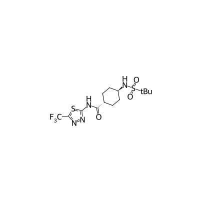 CC(C)(C)S(=O)(=O)N[C@H]1CC[C@H](C(=O)Nc2nnc(C(F)(F)F)s2)CC1